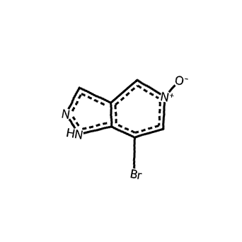 [O-][n+]1cc(Br)c2[nH]ncc2c1